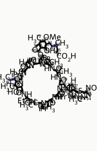 C/C=C/CC(C)C(O)C1C(=O)NC(CC)C(=O)N(C)CC(=O)N(C)C(CC(C)C)C(=O)NC(C(C)C)C(=O)N(C)C(CC(C)C)C(=O)NC(C)C(=O)NC(C)C(=O)N(C)C(CC(C)C)C(=O)N(C)C(CC(C)C)C(=O)N(C)C(C(C)C)C(=O)N1C.COc1c(C)c2c(c(O)c1C/C=C(\C)CCC(=O)O)C(=O)OC2.Cn1cnc([N+](=O)[O-])c1Sc1ncnc2nc[nH]c12